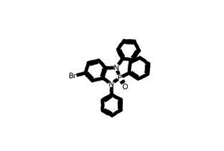 O=P1(C2=CC=CCC2)N(c2ccccc2)c2ccc(Br)cc2N1c1ccccc1